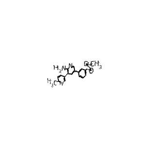 Cc1ccc(-c2cc(-c3cccc(S(C)(=O)=O)c3)cnc2N)cn1